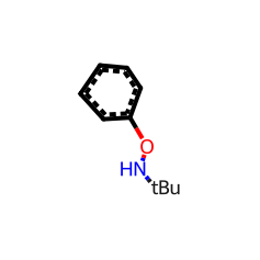 CC(C)(C)NOc1ccccc1